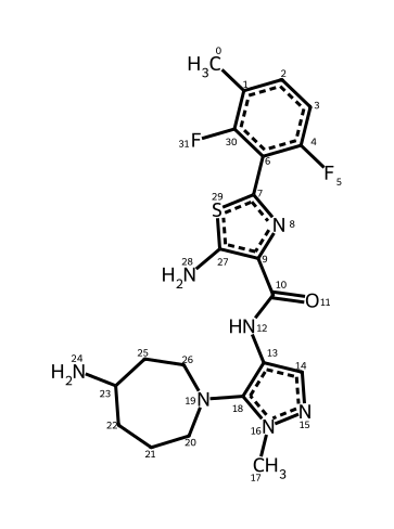 Cc1ccc(F)c(-c2nc(C(=O)Nc3cnn(C)c3N3CCCC(N)CC3)c(N)s2)c1F